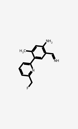 Cc1cc(N)c(C=N)cc1-c1cccc(CF)n1